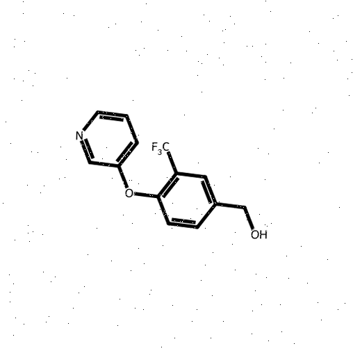 OCc1ccc(Oc2cccnc2)c(C(F)(F)F)c1